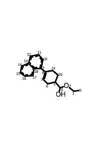 CCOC(O)C1CC=C(c2cccc3ccccc23)CC1